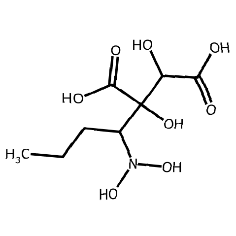 CCCC(N(O)O)C(O)(C(=O)O)C(O)C(=O)O